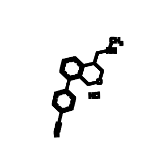 CNCC1COCc2c(-c3ccc(C#N)cc3)cccc21.Cl